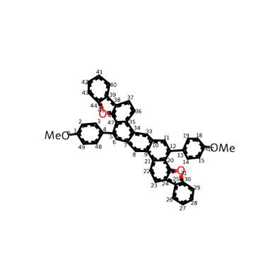 COc1ccc(-c2cc3cc4c(cc(-c5ccc(OC)cc5)c5c4ccc4c6ccccc6oc45)cc3c3ccc4c5ccccc5oc4c23)cc1